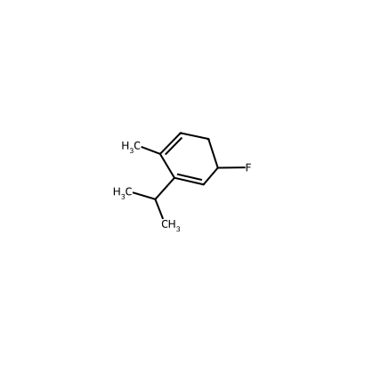 CC1=CCC(F)C=C1C(C)C